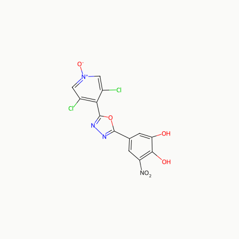 O=[N+]([O-])c1cc(-c2nnc(-c3c(Cl)c[n+]([O-])cc3Cl)o2)cc(O)c1O